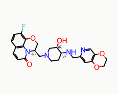 O=c1ccc2ccc(F)c3c2n1[C@H](CN1CC[C@H](NCc2cc4c(cn2)OCCO4)[C@H](O)C1)CO3